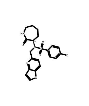 O=C1NCCCC[C@H]1N(Cc1ccc2occc2n1)S(=O)(=O)c1ccc(Cl)cc1